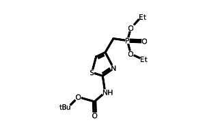 CCOP(=O)(Cc1csc(NC(=O)OC(C)(C)C)n1)OCC